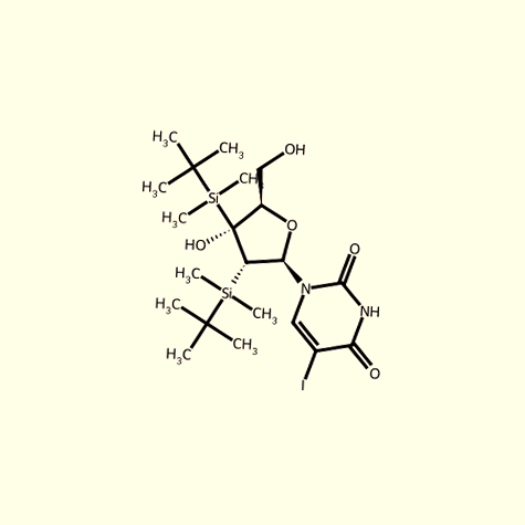 CC(C)(C)[Si](C)(C)[C@H]1[C@H](n2cc(I)c(=O)[nH]c2=O)O[C@H](CO)[C@]1(O)[Si](C)(C)C(C)(C)C